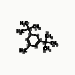 CC1=CC(C(C)(C)C)[CH]C(C(C)(C)C)=C1